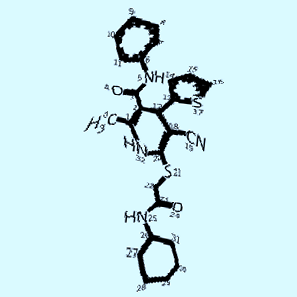 CC1=C(C(=O)Nc2ccccc2)C(c2cccs2)C(C#N)=C(SCC(=O)NC2CCCCC2)N1